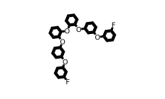 Fc1cccc(Oc2cccc(Oc3ccccc3Oc3ccccc3Oc3cccc(Oc4cccc(F)c4)c3)c2)c1